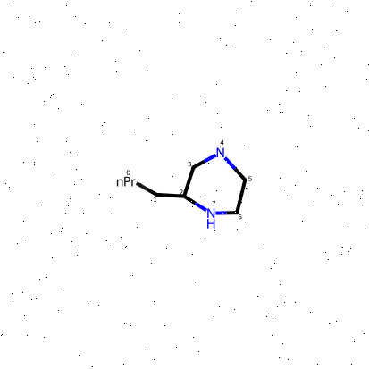 CCCCC1C[N]CCN1